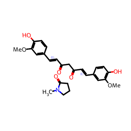 CN1CCCC1=O.COc1cc(/C=C/C(=O)CC(=O)/C=C/c2ccc(O)c(OC)c2)ccc1O